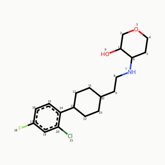 OC1COCCC1NCCC1CCC(c2ccc(F)cc2Cl)CC1